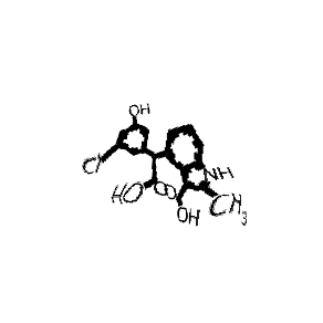 Cc1[nH]c2cccc(C(C(=O)O)c3cc(O)cc(Cl)c3)c2c1C(=O)O